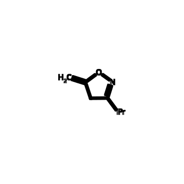 C=C1CC(C(C)C)=NO1